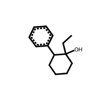 CCC1(O)CCCCC1c1ccccc1